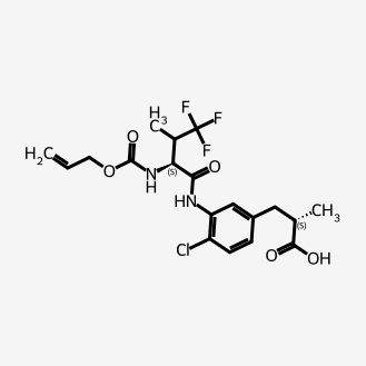 C=CCOC(=O)N[C@H](C(=O)Nc1cc(C[C@H](C)C(=O)O)ccc1Cl)C(C)C(F)(F)F